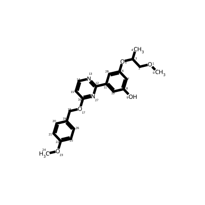 COCC(C)Oc1cc(O)cc(-c2nccc(OCc3ccc(OC)cc3)n2)c1